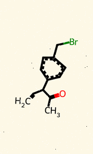 C=CC(C(C)=O)c1ccc(CBr)cc1